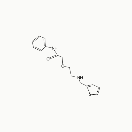 O=C(COCCNCc1cccs1)Nc1ccccc1